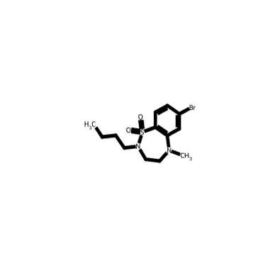 CCCCN1CCN(C)c2cc(Br)ccc2S1(=O)=O